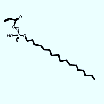 C=CC(=O)OOP(O)(=S)OCCCCCCCCCCCCCCCCC